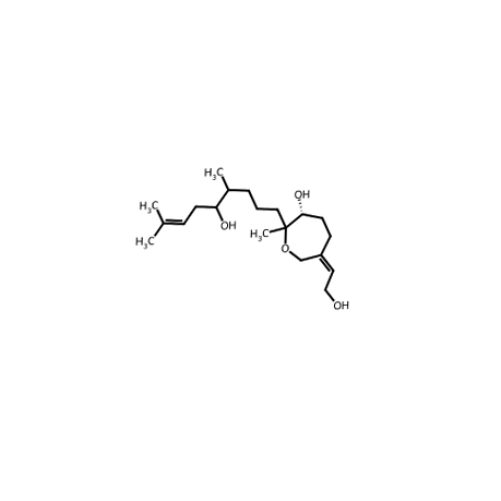 CC(C)=CCC(O)C(C)CCCC1(C)OCC(=CCO)CC[C@H]1O